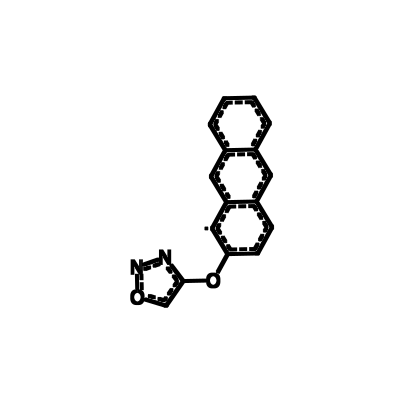 [c]1c(Oc2conn2)ccc2cc3ccccc3cc12